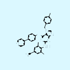 Cc1ccc(Cn2cnc3nc(Nc4c(C)cc(C#N)cc4C)nc(Oc4ccc(-c5ccncc5)cc4)c32)cc1